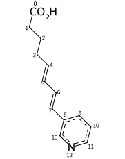 O=C(O)CCCC=CC=Cc1cccnc1